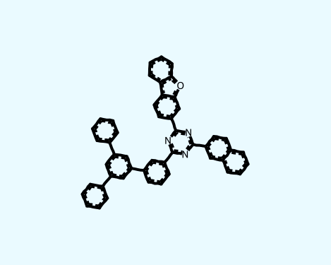 c1ccc(-c2cc(-c3ccccc3)cc(-c3cccc(-c4nc(-c5ccc6ccccc6c5)nc(-c5ccc6c(c5)oc5ccccc56)n4)c3)c2)cc1